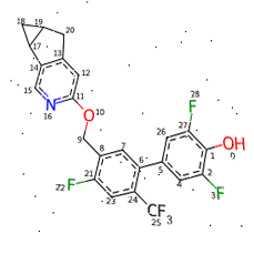 Oc1c(F)cc(-c2cc(COc3cc4c(cn3)C3CC3C4)c(F)cc2C(F)(F)F)cc1F